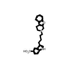 O=C(O)c1ccc2[nH]cc(CCCCN3CCc4c(oc5ccccc45)C3)c2c1